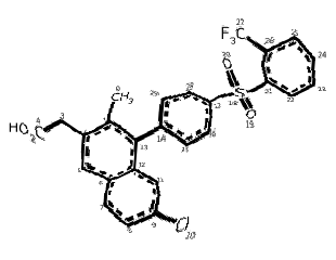 Cc1c(CC(=O)O)cc2ccc(Cl)cc2c1-c1ccc(S(=O)(=O)c2ccccc2C(F)(F)F)cc1